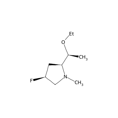 CCO[C@@H](C)[C@@H]1C[C@H](F)CN1C